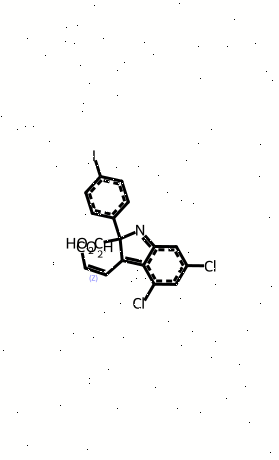 O=C(O)/C=C\C1=c2c(Cl)cc(Cl)cc2=NC1(C(=O)O)c1ccc(I)cc1